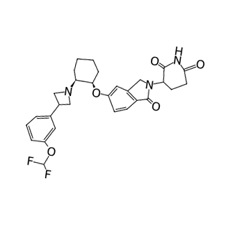 O=C1CCC(N2Cc3cc(O[C@@H]4CCCC[C@@H]4N4CC(c5cccc(OC(F)F)c5)C4)ccc3C2=O)C(=O)N1